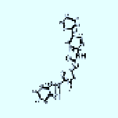 CN(CCOC(=O)Nc1ccc(-c2ccccc2)cn1)C(=O)NCc1ccccc1Cl